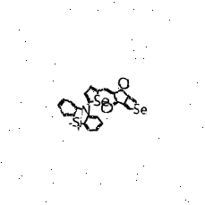 C[Si]1(C)c2ccccc2N(c2ccc(C=C3C(=O)c4c[se]cc4C3=O)[se]2)c2ccccc21